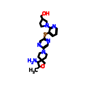 C[C@@H]1OCC2(CCN(c3cnc(Sc4cccnc4N4CCC(CO)C4)cn3)CC2)[C@@H]1N